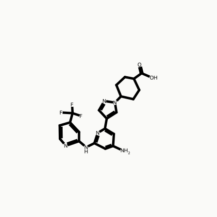 Nc1cc(Nc2cc(C(F)(F)F)ccn2)nc(-c2cnn(C3CCC(C(=O)O)CC3)c2)c1